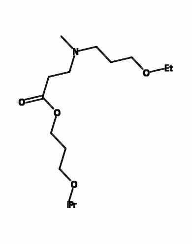 CCOCCCN(C)CCC(=O)OCCCOC(C)C